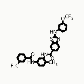 Cc1ccc(NC(=O)c2cccc(C(F)(F)F)c2)cc1NC(=O)c1ccc2nc(Nc3cccc(OC(F)(F)F)c3)sc2c1